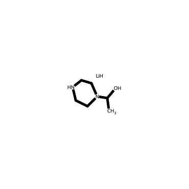 CC(O)N1CCNCC1.[LiH]